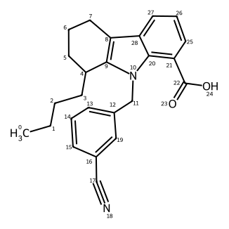 CCCCC1CCCc2c1n(Cc1cccc(C#N)c1)c1c(C(=O)O)cccc21